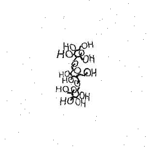 OCC1OC(COCC2C(CO)OC(COCC3C(CO)OC(CO)C(O)C3O)C(O)C2O)C(O)C(O)C1O